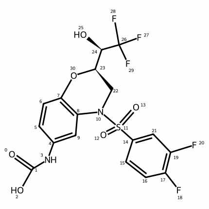 O=C(O)Nc1ccc2c(c1)N(S(=O)(=O)c1ccc(F)c(F)c1)C[C@H]([C@@H](O)C(F)(F)F)O2